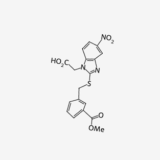 COC(=O)c1cccc(CSc2nc3cc([N+](=O)[O-])ccc3n2CC(=O)O)c1